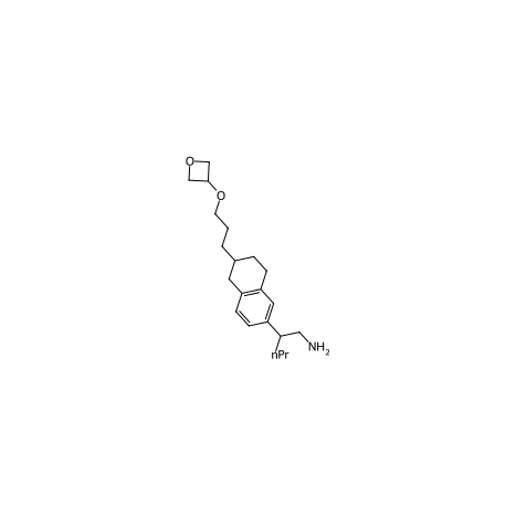 CCCC(CN)c1ccc2c(c1)CCC(CCCOC1COC1)C2